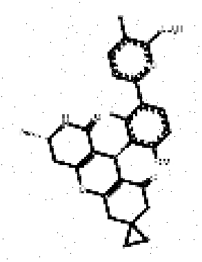 COc1ccc(-c2ccc(C)c(C(=O)O)n2)c(C)c1[C@H]1C2=C(CC3(CC3)CC2=O)OC2=C1C(=O)N[C@@H](C(C)C)C2